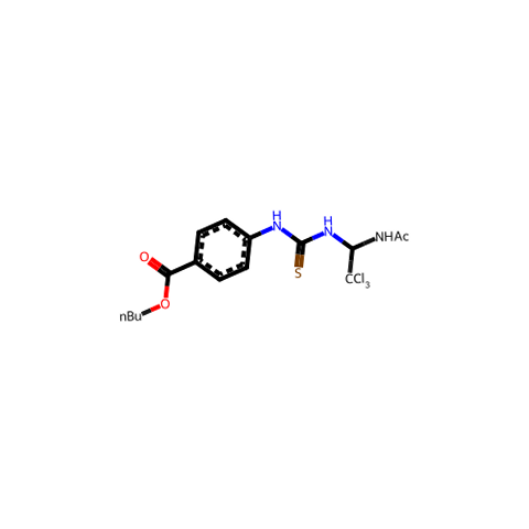 CCCCOC(=O)c1ccc(NC(=S)NC(NC(C)=O)C(Cl)(Cl)Cl)cc1